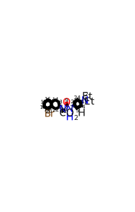 CCN(CC)c1ccc(NC(=O)N(C(=O)O)C2CCc3cccc(Br)c3C2)cc1